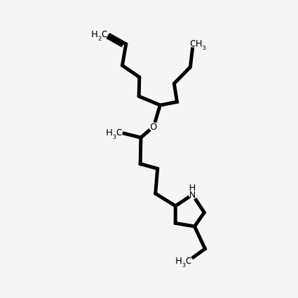 C=CCCCC(CCCC)OC(C)CCCC1CC(CC)CN1